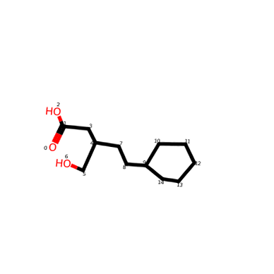 O=C(O)CC(CO)CCC1CCCCC1